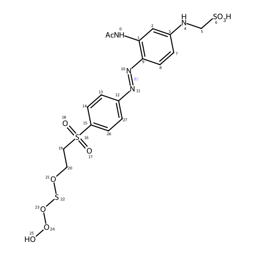 CC(=O)Nc1cc(NCS(=O)(=O)O)ccc1/N=N/c1ccc(S(=O)(=O)CCOSOOO)cc1